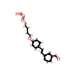 O=Cc1cccc(/C=C/c2ccc(OCCCCSOOO)cc2)c1